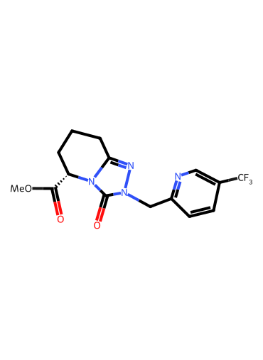 COC(=O)[C@@H]1CCCc2nn(Cc3ccc(C(F)(F)F)cn3)c(=O)n21